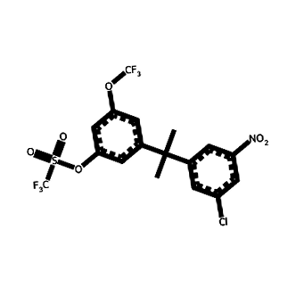 CC(C)(c1cc(OC(F)(F)F)cc(OS(=O)(=O)C(F)(F)F)c1)c1cc(Cl)cc([N+](=O)[O-])c1